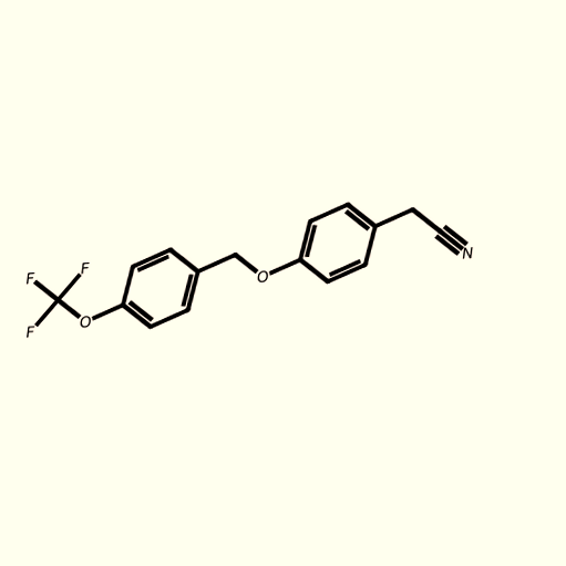 N#CCc1ccc(OCc2ccc(OC(F)(F)F)cc2)cc1